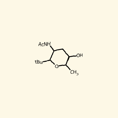 CC(=O)NC1CC(O)C(C)OC1C(C)(C)C